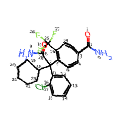 NC(=O)c1ccc(C(C(N)=O)(c2ccccc2Cl)C2CCCCC2)c(C(F)(F)F)c1